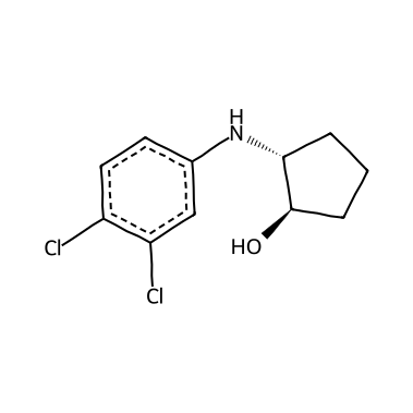 O[C@@H]1CCC[C@H]1Nc1ccc(Cl)c(Cl)c1